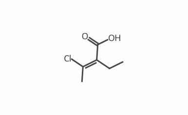 CC/C(C(=O)O)=C(\C)Cl